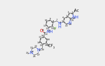 CC(=O)c1cc2cc(NCc3cccc(NC(=O)c4ccc(CN5CCN(C)CC5)c(C(F)(F)F)c4)c3F)cnc2[nH]1